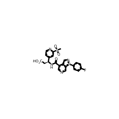 CS(=O)(=O)c1cc([C@H](CC(=O)O)NC(=O)c2cncc3c2cnn3-c2ccc(F)cc2)ccn1